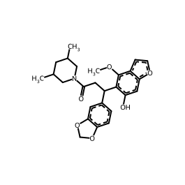 COc1c(C(CC(=O)N2CC(C)CC(C)C2)c2ccc3c(c2)OCO3)c(O)cc2occc12